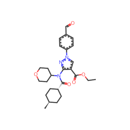 CCOC(=O)c1cn(-c2ccc(C=O)cc2)nc1N(C(=O)[C@H]1CC[C@H](C)CC1)C1CCOCC1